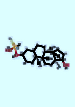 C[C@]12CC[C@H]3[C@@H](CCC4CC(OP(C)(O)=S)CC[C@@H]43)[C@@H]1CCC2O